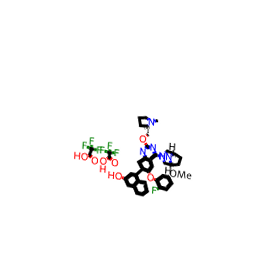 COc1ccc(F)c(Oc2cc3c(N4C[C@H]5CC[C@@H](C4)N5)nc(OC[C@@H]4CCCN4C)nc3cc2-c2cc(O)cc3ccccc23)c1.O=C(O)C(F)(F)F.O=C(O)C(F)(F)F